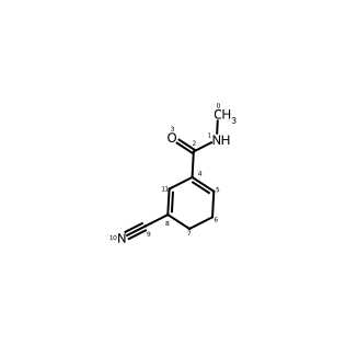 CNC(=O)C1=CCCC(C#N)=C1